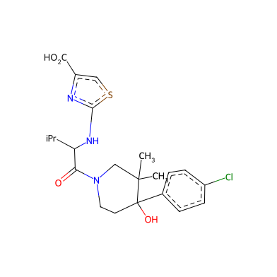 CC(C)C(Nc1nc(C(=O)O)cs1)C(=O)N1CCC(O)(c2ccc(Cl)cc2)C(C)(C)C1